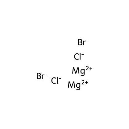 [Br-].[Br-].[Cl-].[Cl-].[Mg+2].[Mg+2]